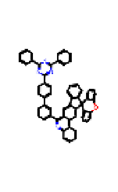 c1ccc(-c2nc(-c3ccccc3)nc(-c3ccc(-c4cccc(-c5nc6ccccc6c6cc7c(cc56)-c5ccccc5C75c6ccccc6Oc6ccccc65)c4)cc3)n2)cc1